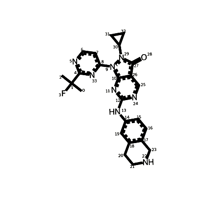 CC(C)(F)c1nccc(-n2c3nc(Nc4ccc5c(c4)CCNC5)ncc3c(=O)n2C2CC2)n1